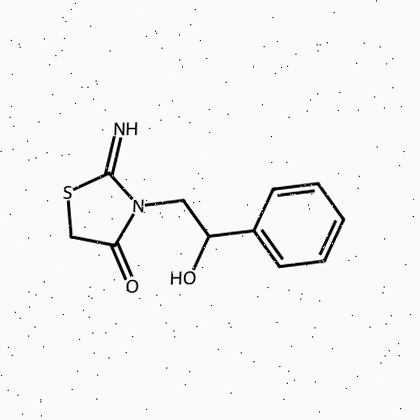 N=C1SCC(=O)N1CC(O)c1ccccc1